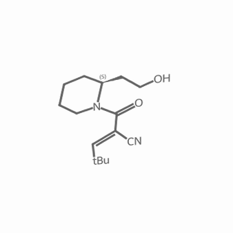 CC(C)(C)C=C(C#N)C(=O)N1CCCC[C@H]1CCO